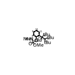 COP(=O)(N=[N+]=[N-])Oc1ccccc1C(C(C(C)(C)C)C(C)(C)C)(C(C)(C)C)C(C)(C)C